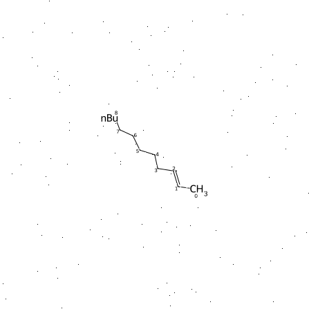 C/C=[C]/CCCCCCCCC